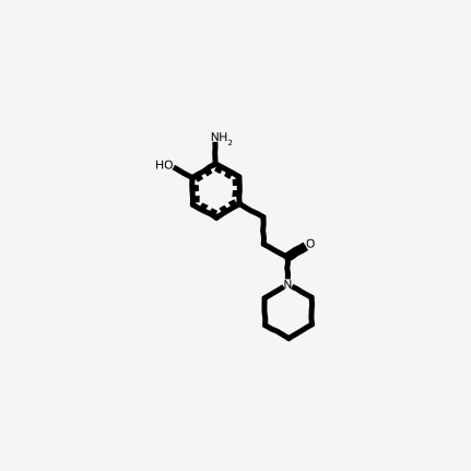 Nc1cc(CCC(=O)N2CCCCC2)ccc1O